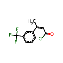 C/C(=C/C(=O)Cl)c1cccc(C(F)(F)F)c1